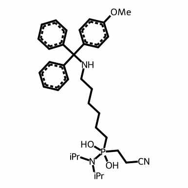 COc1ccc(C(NCCCCCCP(O)(O)(CCC#N)N(C(C)C)C(C)C)(c2ccccc2)c2ccccc2)cc1